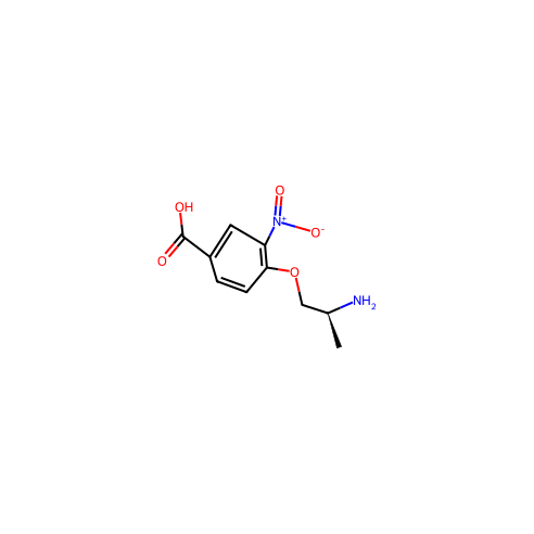 C[C@H](N)COc1ccc(C(=O)O)cc1[N+](=O)[O-]